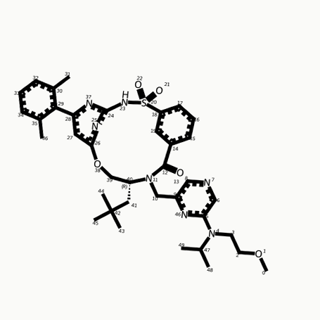 COCCN(c1cncc(CN2C(=O)c3cccc(c3)S(=O)(=O)Nc3nc(cc(-c4c(C)cccc4C)n3)OC[C@H]2CC(C)(C)C)n1)C(C)C